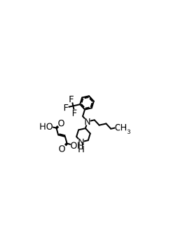 CCCCCN(Cc1ccccc1C(F)(F)F)C1CCNCC1.O=C(O)C=CC(=O)O